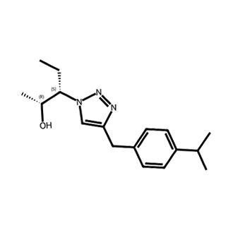 CC[C@@H]([C@@H](C)O)n1cc(Cc2ccc(C(C)C)cc2)nn1